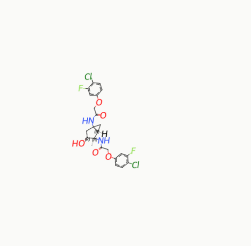 C[C@]1(NC(=O)COc2ccc(Cl)c(F)c2)[C@H](O)CC2(NC(=O)COc3ccc(Cl)c(F)c3)C[C@H]21